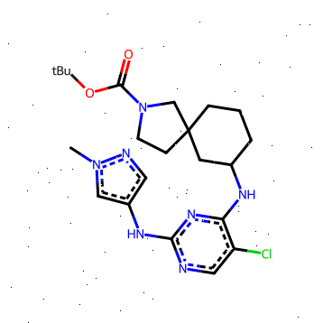 Cn1cc(Nc2ncc(Cl)c(NC3CCCC4(CCN(C(=O)OC(C)(C)C)C4)C3)n2)cn1